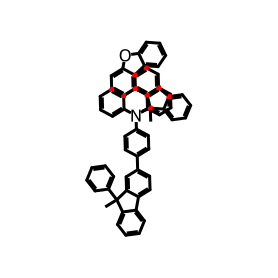 CC1(C)c2ccccc2-c2cccc(-c3ccccc3N(c3ccc(-c4ccc5c(c4)C(C)(c4ccccc4)c4ccccc4-5)cc3)c3ccccc3-c3cccc4oc5ccccc5c34)c21